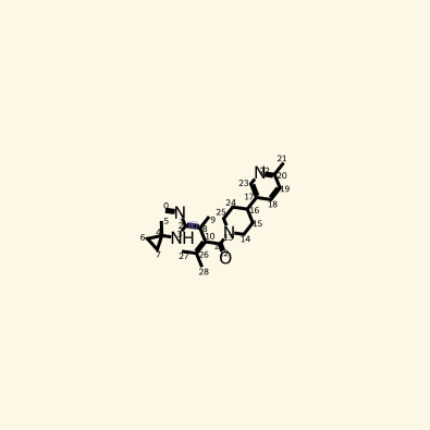 C=N/C(NC1(C)CC1)=C(\C)C(C(=O)N1CCC(c2ccc(C)nc2)CC1)=C(C)C